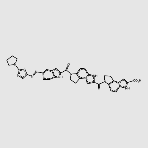 O=C(O)c1cc2c3c(ccc2[nH]1)N(C(=O)c1cc2c4c(ccc2[nH]1)N(C(=O)c1cc2cc(/N=N/c5cnc(N6CCCC6)s5)ccc2[nH]1)CC4)CC3